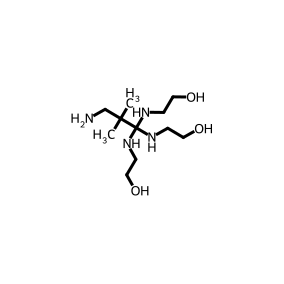 CC(C)(CN)C(NCCO)(NCCO)NCCO